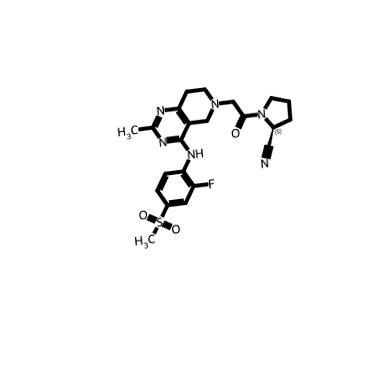 Cc1nc2c(c(Nc3ccc(S(C)(=O)=O)cc3F)n1)CN(CC(=O)N1CCC[C@H]1C#N)CC2